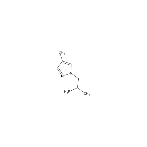 Cc1cnn(CC(C)P)c1